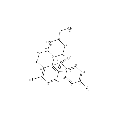 N#CC[C@@H]1CC[C@@]2(S(=O)(=O)c3ccc(Cl)cc3)c3c(F)ccc(F)c3OCC2N1